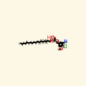 CCCCCCCCCCCCCCCCCCOC[C@H](CO)OCc1cc(C#N)c(Cl)c(OC)c1